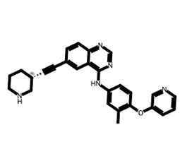 Cc1cc(Nc2ncnc3ccc(C#C[C@H]4CCCNC4)cc23)ccc1Oc1cccnc1